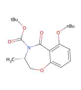 CCCCOc1cccc2c1C(=O)N(C(=O)OC(C)(C)C)[C@@H](C)CO2